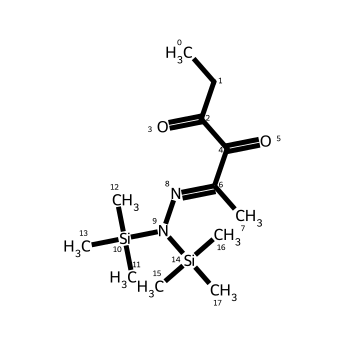 CCC(=O)C(=O)C(C)=NN([Si](C)(C)C)[Si](C)(C)C